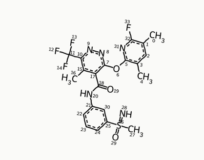 Cc1cc(C)c(Oc2nnc(C(F)(F)F)c(C)c2C(=O)Nc2cccc(S(C)(=N)=O)c2)nc1F